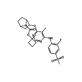 Cc1c(Nc2ccc(S(C)(=O)=O)cc2F)ncnc1OC1CC2CCC1N2C(=O)OC1(C)CCC1